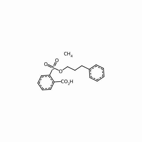 C.O=C(O)c1ccccc1S(=O)(=O)OCCCc1ccccc1